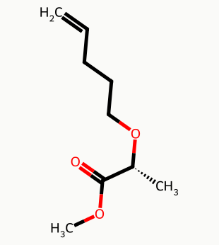 C=CCCCO[C@H](C)C(=O)OC